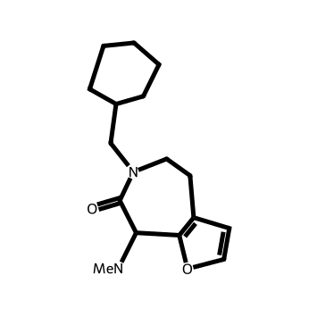 CNC1C(=O)N(CC2CCCCC2)CCc2ccoc21